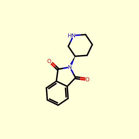 O=C1c2ccccc2C(=O)N1[C@@H]1CCCNC1